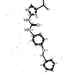 CC(C)c1cnc(NC(=O)Nc2ccc(OCc3ccccc3)cc2)s1